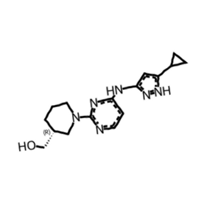 OC[C@@H]1CCCN(c2nccc(Nc3cc(C4CC4)[nH]n3)n2)C1